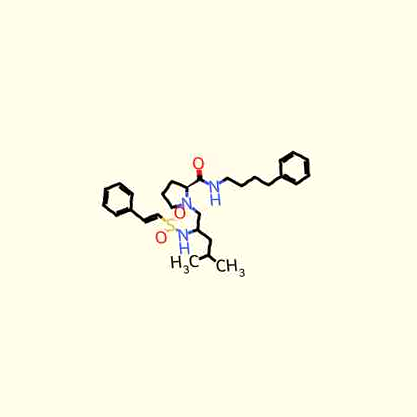 CC(C)CC(CN1CCC[C@H]1C(=O)NCCCCc1ccccc1)NS(=O)(=O)/C=C/c1ccccc1